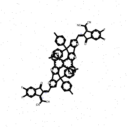 [C-]#[N+]/C(C#N)=C1/C(=C/c2cc3c(s2)-c2sc4c5nonc5c5c6c7c(sc6c6nsnc6c5c4c2C3(c2ccc(C)cc2)c2ccc(C)cc2)-c2sc(/C=C3\C(=O)c4cc(F)c(F)cc4C3=C(C#N)C#N)cc2C7(c2ccc(C)cc2)c2ccc(C)cc2)C(=O)c2cc(F)c(F)cc21